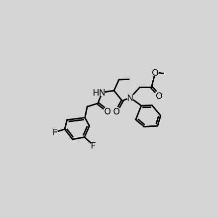 CCC(NC(=O)Cc1cc(F)cc(F)c1)C(=O)N(CC(=O)OC)c1ccccc1